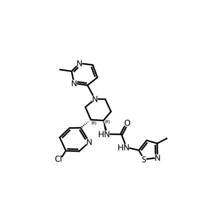 Cc1cc(NC(=O)N[C@@H]2CCN(c3ccnc(C)n3)C[C@H]2c2ccc(Cl)cn2)sn1